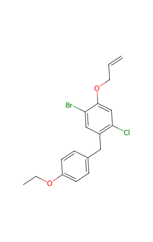 C=CCOc1cc(Cl)c(Cc2ccc(OCC)cc2)cc1Br